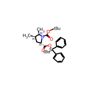 C[C@@H]1C[C@@H](C(=O)O[Si](c2ccccc2)(c2ccccc2)C(C)(C)C)N(C(=O)OC(C)(C)C)[C@@H]1C